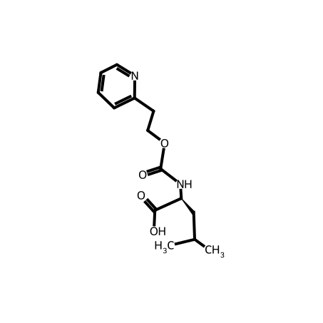 CC(C)C[C@H](NC(=O)OCCc1ccccn1)C(=O)O